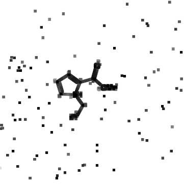 COC(=O)C1=CC=C[SH]1CC(C)C